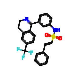 O=S(=O)(C=Cc1ccccc1)Nc1cccc(C2=NCCc3cc(C(F)(F)F)ccc32)c1